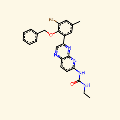 CCNC(=O)Nc1ccc2ncc(-c3cc(C)cc(Br)c3OCc3ccccc3)nc2n1